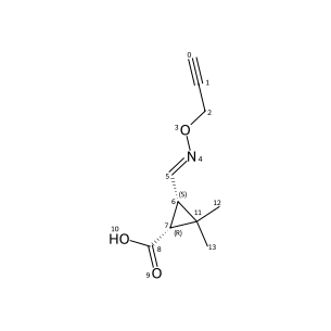 C#CCON=C[C@H]1[C@@H](C(=O)O)C1(C)C